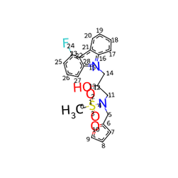 CS(=O)(=O)N(Cc1ccco1)CC(O)Cn1c2ccccc2c2c(F)cccc21